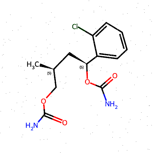 C[C@H](COC(N)=O)C[C@H](OC(N)=O)c1ccccc1Cl